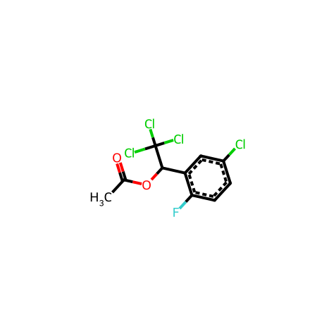 CC(=O)OC(c1cc(Cl)ccc1F)C(Cl)(Cl)Cl